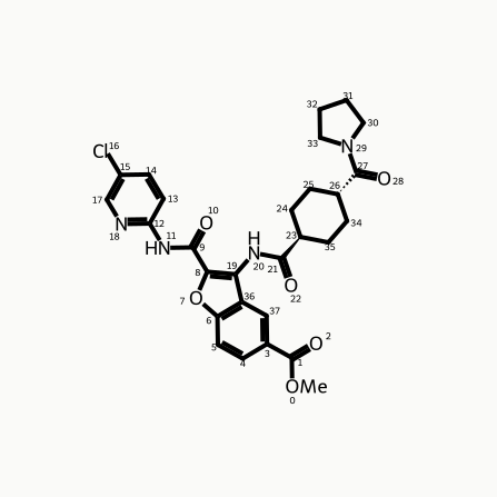 COC(=O)c1ccc2oc(C(=O)Nc3ccc(Cl)cn3)c(NC(=O)[C@H]3CC[C@H](C(=O)N4CCCC4)CC3)c2c1